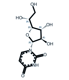 O=c1ccn([C@@H]2O[C@H]([C@H](O)CO)[C@H](O)[C@H]2O)c(=O)[nH]1